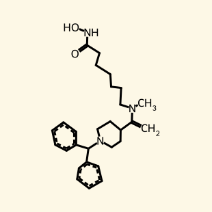 C=C(C1CCN(C(c2ccccc2)c2ccccc2)CC1)N(C)CCCCCCC(=O)NO